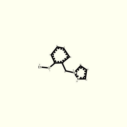 CCOc1ccccc1Cn1cccn1